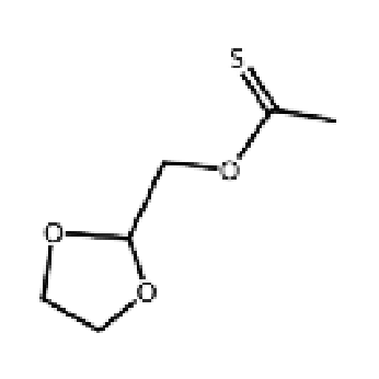 CC(=S)OCC1OCCO1